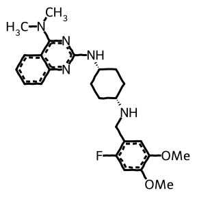 COc1cc(F)c(CN[C@H]2CC[C@@H](Nc3nc(N(C)C)c4ccccc4n3)CC2)cc1OC